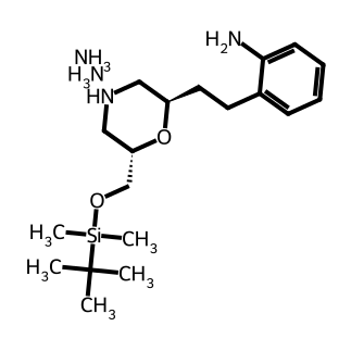 CC(C)(C)[Si](C)(C)OC[C@@H]1CNC[C@@H](CCc2ccccc2N)O1.N.N